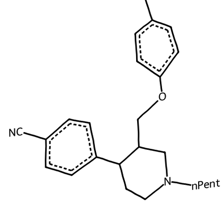 CCCCCN1CCC(c2ccc(C#N)cc2)C(COc2ccc(C(F)(F)F)cc2)C1